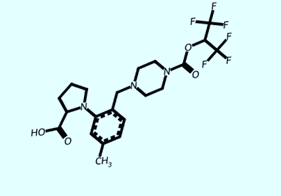 Cc1ccc(CN2CCN(C(=O)OC(C(F)(F)F)C(F)(F)F)CC2)c(N2CCCC2C(=O)O)c1